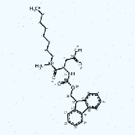 CCCCCCCCN(C)C(=O)C(CC(=O)O)NC(=O)OCC1c2ccccc2-c2ccccc21